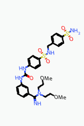 COCCN(CCOC)C(=N)c1cccc(NC(=O)Nc2ccc(S(=O)(=O)NCc3ccc(S(N)(=O)=O)cc3)cc2)c1